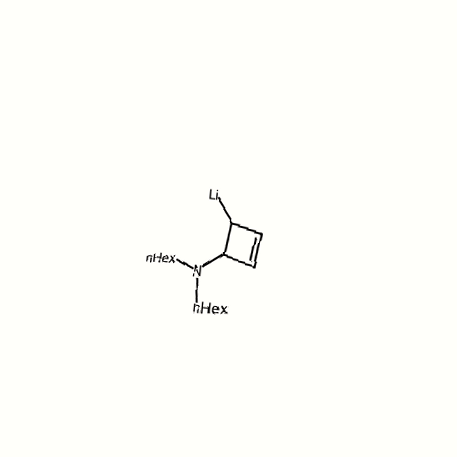 [Li][CH]1C=CC1N(CCCCCC)CCCCCC